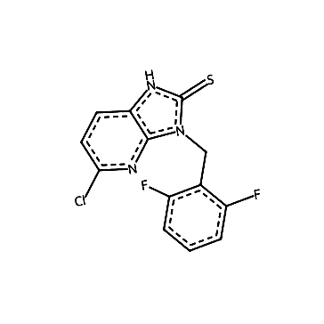 Fc1cccc(F)c1Cn1c(=S)[nH]c2ccc(Cl)nc21